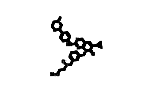 COCC[S+]([O-])Cc1cccc(Cn2c(=O)c(C3CC3)cc3cnc(Nc4ccc(C5CN(C)CCO5)cc4)nc32)c1